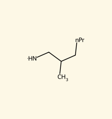 [CH2]CCCC(C)C[NH]